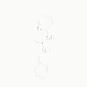 S=C(NCc1ccccc1)Nc1ccccn1